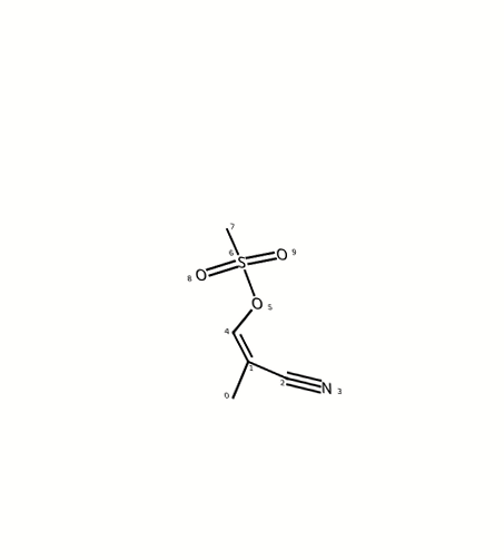 CC(C#N)=COS(C)(=O)=O